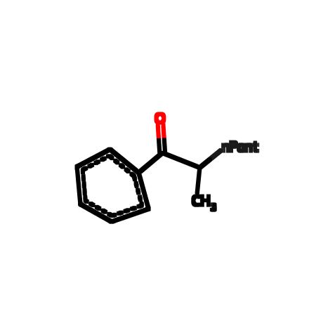 CC[CH]CCC(C)C(=O)c1ccccc1